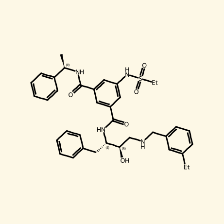 CCc1cccc(CNC[C@@H](O)[C@H](Cc2ccccc2)NC(=O)c2cc(NS(=O)(=O)CC)cc(C(=O)N[C@H](C)c3ccccc3)c2)c1